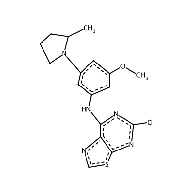 COc1cc(Nc2nc(Cl)nc3scnc23)cc(N2CCCC2C)c1